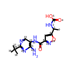 CC(NC(=O)O)c1cc(C(=O)Nc2cnc(C(C)(C)C)nc2N)no1